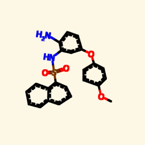 COc1ccc(Oc2ccc(N)c(NS(=O)(=O)c3cccc4ccccc34)c2)cc1